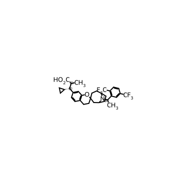 C[C@H](C(=O)O)[C@H](c1ccc2c(c1)OC1(CC2)CCC2CCC(C1)N2[C@H](C)c1cc(C(F)(F)F)ccc1C(F)(F)F)C1CC1